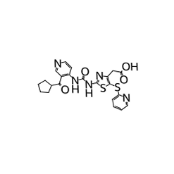 O=C(O)Cc1nc(NC(=O)Nc2ccncc2C(=O)C2CCCC2)sc1Sc1ccccn1